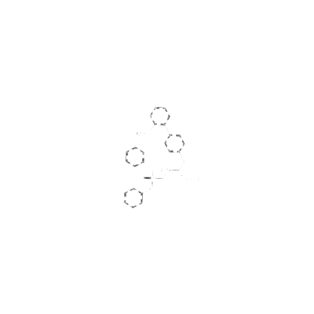 COc1ccccc1-c1ccc(C[C@H](NCP(=O)(Oc2ccccc2)Oc2ccccc2)C(=O)O)cc1